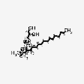 CCCCCCCCCCCCCC(=O)C(C[N+](C)(C)C)OP(=O)(O)OC[C@H](O)CO